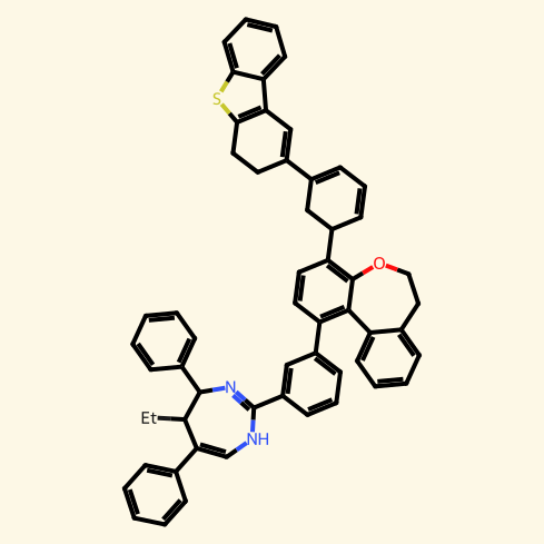 CCC1C(c2ccccc2)=CNC(c2cccc(-c3ccc(C4C=CC=C(C5=Cc6c(sc7ccccc67)CC5)C4)c4c3-c3ccccc3CCO4)c2)=NC1c1ccccc1